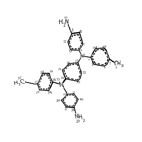 Cc1ccc(N(c2ccc(N)cc2)c2ccc(N(c3ccc(C)cc3)c3ccc(N)cc3)cc2)cc1